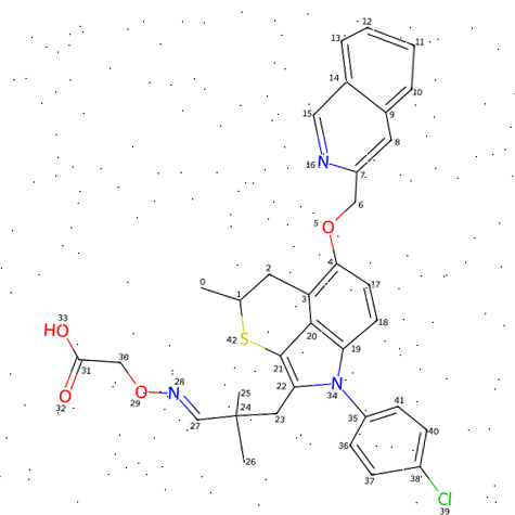 CC1Cc2c(OCc3cc4ccccc4cn3)ccc3c2c(c(CC(C)(C)C=NOCC(=O)O)n3-c2ccc(Cl)cc2)S1